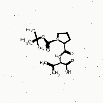 C=C(C)[C@@H](NC(=O)[C@@H]1CCCN1C(=O)OC(C)(C)C)C(=O)O